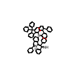 N=C(/C(=C1\NC(c2ccccc2)=Cc2ccc(N(c3ccccc3-c3ccccc3-c3ccccc3)c3cccc4c3-c3ccccc3C4(c3ccccc3)c3ccccc3)cc21)c1ccccc1)c1ccccc1